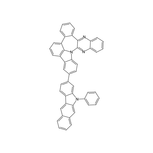 c1ccc(-n2c3cc(-c4ccc5c(c4)c4cccc6c4n5-c4nc5ccccc5nc4-c4ccccc4-6)ccc3c3cc4ccccc4cc32)cc1